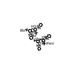 CC(C)(C)CC(C)(C)c1cc(Cc2cc(C(C)(C)CC(C)(C)C)cc(-n3nc4ccccc4n3)c2O)c(O)c(-n2nc3ccccc3n2)c1.CCCCCC(C)(C)c1cc(Cc2cc(C(C)(C)CCCCC)cc(-n3nc4ccccc4n3)c2O)c(O)c(-n2nc3ccccc3n2)c1